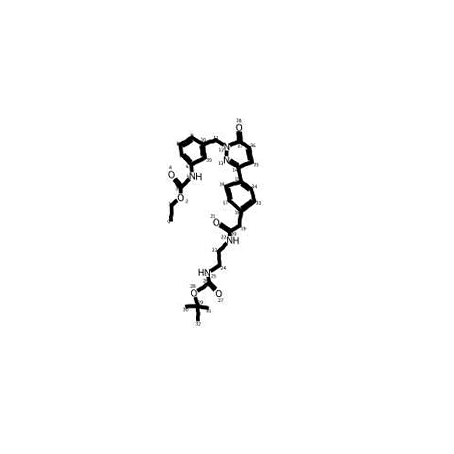 CCOC(=O)Nc1cccc(Cn2nc(-c3ccc(CC(=O)NCCNC(=O)OC(C)(C)C)cc3)ccc2=O)c1